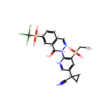 CCS(=O)(=O)c1cc(C2(C#N)CC2)cnc1-n1ncc2ccc(S(=O)(=O)C(F)(F)F)cc2c1=O